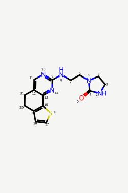 O=C1NCCN1CCNc1ncc2c(n1)-c1sccc1CC2